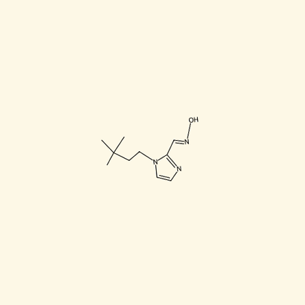 CC(C)(C)CCn1ccnc1C=NO